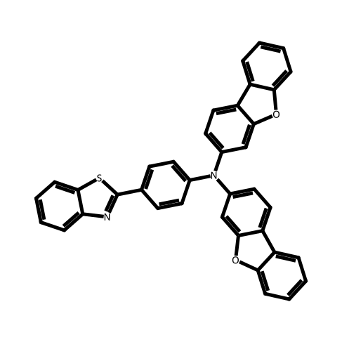 c1ccc2sc(-c3ccc(N(c4ccc5c(c4)oc4ccccc45)c4ccc5c(c4)oc4ccccc45)cc3)nc2c1